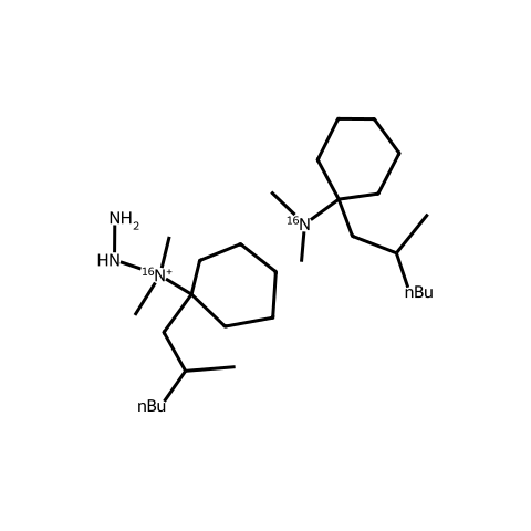 CCCCC(C)CC1([16N+](C)(C)NN)CCCCC1.CCCCC(C)CC1([16N](C)C)CCCCC1